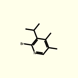 Cc1cnc(Br)c(C(C)C)c1C